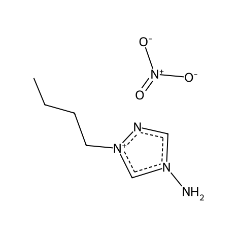 CCCC[n+]1cn(N)cn1.O=[N+]([O-])[O-]